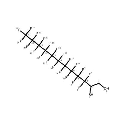 OCC(S)C(F)(F)C(F)(F)C(F)(F)C(F)(F)C(F)(F)C(F)(F)C(F)(F)C(F)(F)C(F)(F)C(F)(F)F